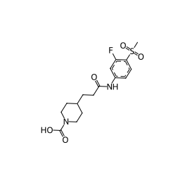 CS(=O)(=O)c1ccc(NC(=O)CCC2CCN(C(=O)O)CC2)cc1F